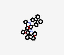 c1ccc(-c2cccc(-c3ccccc3N(c3ccc4c(c3)C(c3ccccc3)(c3ccccc3)c3ccccc3-4)c3ccc4c(c3)c3cccc5c3n4-c3ccccc3C53c4ccccc4-c4ccccc43)c2)cc1